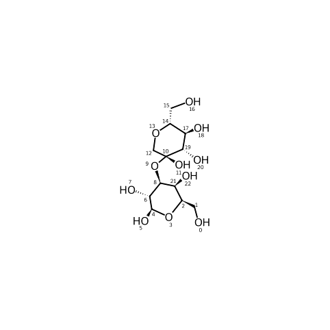 OC[C@H]1O[C@@H](O)[C@H](O)[C@@H](O[C@]2(O)CO[C@H](CO)[C@@H](O)[C@@H]2O)[C@H]1O